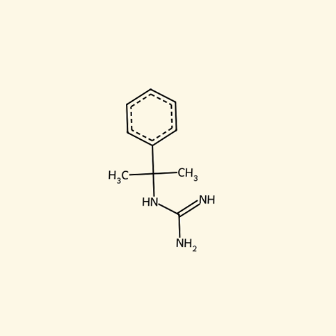 CC(C)(NC(=N)N)c1ccccc1